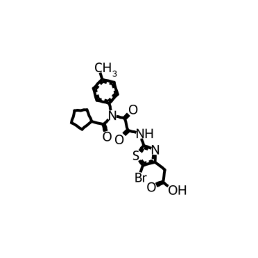 Cc1ccc(N(C(=O)C(=O)Nc2nc(CC(=O)O)c(Br)s2)C(=O)C2CCCC2)cc1